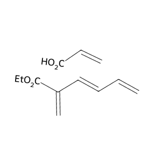 C=CC(=O)O.C=CC=CC(=C)C(=O)OCC